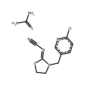 N#C/N=C1\SCCN1Cc1ccc(Cl)nc1.NC(N)=S